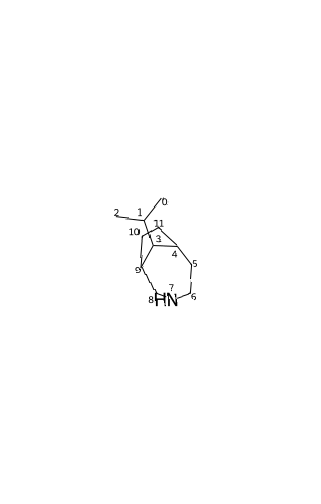 CC(C)C1C2CCNCC1CC2